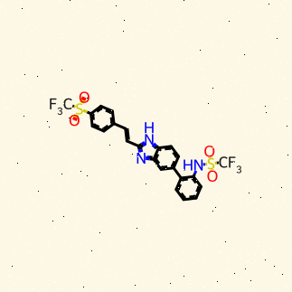 O=S(=O)(Nc1ccccc1-c1ccc2[nH]c(C=Cc3ccc(S(=O)(=O)C(F)(F)F)cc3)nc2c1)C(F)(F)F